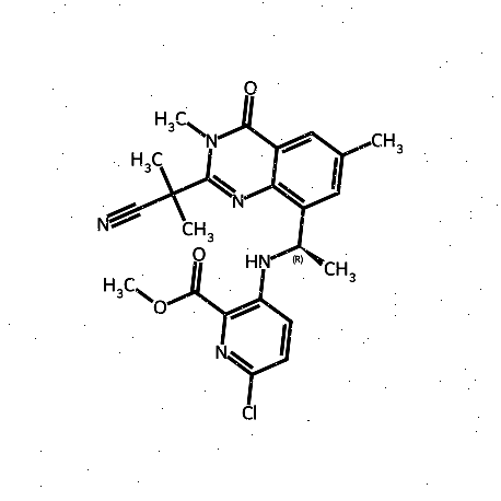 COC(=O)c1nc(Cl)ccc1N[C@H](C)c1cc(C)cc2c(=O)n(C)c(C(C)(C)C#N)nc12